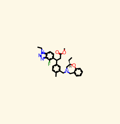 CC[C@@H]1CN(Cc2cc(C(CC(=O)OC)c3ccc4c(nnn4CC)c3F)ccc2C)Cc2ccccc2O1